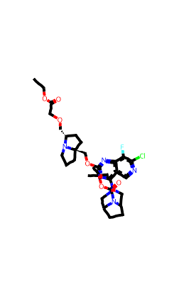 CCOC(=O)COC[C@@H]1CC[C@]2(COc3nc(N4CC5CCC(C4)N5C(=O)OC(C)(C)C)c4cnc(Cl)c(F)c4n3)CCCN12